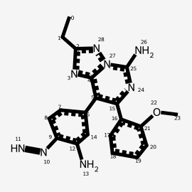 CCc1nc2c(-c3ccc(N=N)c(N)c3)c(-c3ccccc3OC)nc(N)n2n1